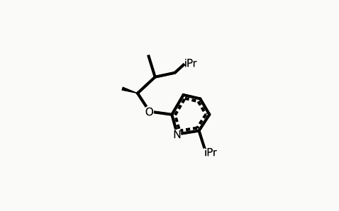 CC(C)CC(C)[C@H](C)Oc1cccc(C(C)C)n1